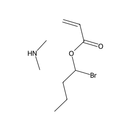 C=CC(=O)OC(Br)CCC.CNC